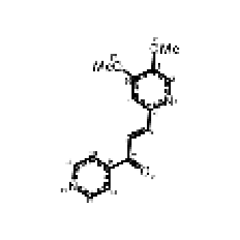 COc1cnc(C=CC(=O)c2ccncc2)cc1OC